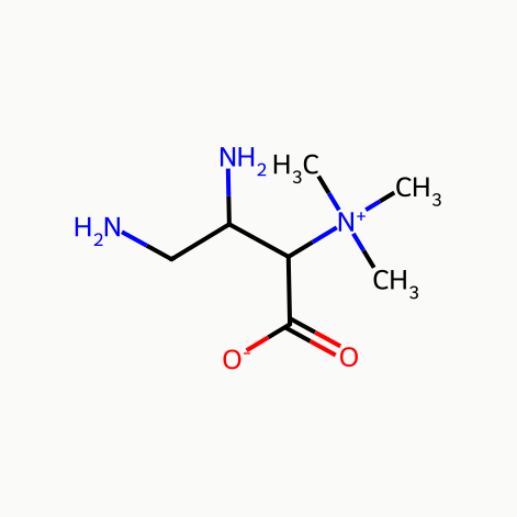 C[N+](C)(C)C(C(=O)[O-])C(N)CN